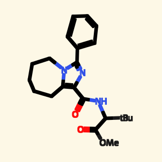 COC(=O)C(NC(=O)c1nc(-c2ccccc2)n2c1CCCCC2)C(C)(C)C